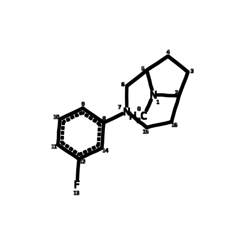 CN1C2CCC1CN(c1cccc(F)c1)CC2